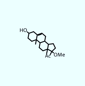 COC1(C(C)=O)CCC2C3CC=C4CC(O)CCC4(C)C3CCC21C